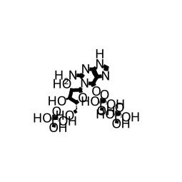 Nc1nc2[nH]cnc2c(=O)n1C1O[C@H](CO)[C@@H](O)[C@@H]1O.O=P(O)(O)O.O=P(O)(O)O.O=P(O)(O)O